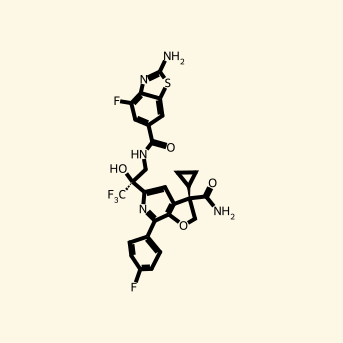 NC(=O)[C@]1(C2CC2)COc2c1cc([C@@](O)(CNC(=O)c1cc(F)c3nc(N)sc3c1)C(F)(F)F)nc2-c1ccc(F)cc1